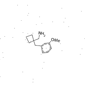 COc1cccc(CC2(CN)CCC2)c1